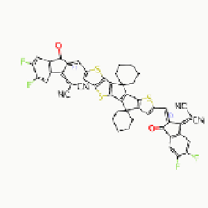 N#CC(C#N)=C1/C(=C/c2cc3c(s2)C2=C(c4sc5cc(/C=C6/C(=O)c7cc(F)c(F)cc7C6=C(C#N)C#N)sc5c4C24CCCCC4)C32CCCCC2)C(=O)c2cc(F)c(F)cc21